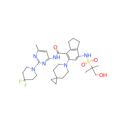 Cc1cc(NC(=O)c2c(N3CCC4(CC3)CC4)cc(NS(=O)(=O)C(C)(C)CO)c3c2CCC3)nc(N2CCC(F)(F)CC2)n1